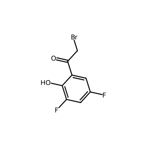 O=C(CBr)c1cc(F)cc(F)c1O